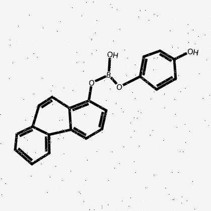 OB(Oc1ccc(O)cc1)Oc1cccc2c1ccc1ccccc12